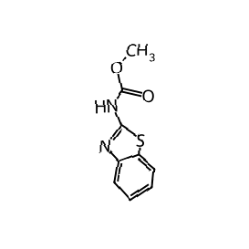 COC(=O)Nc1nc2ccccc2s1